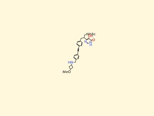 COC1CC(NCc2ccc(C#Cc3ccc(CC(CNC(C)=O)c4nc[nH]c(=O)c4O)cc3)cc2)C1